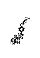 COCCOc1ccc(-c2csc(NC(=O)c3ccno3)n2)cc1